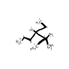 BC(C)(O)C(O)(CC)CCC